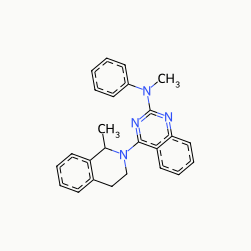 CC1c2ccccc2CCN1c1nc(N(C)c2ccccc2)nc2ccccc12